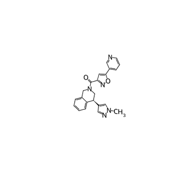 Cn1cc([C@@H]2CN(C(=O)c3cc(-c4cccnc4)on3)Cc3ccccc32)cn1